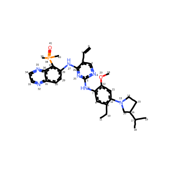 C=Cc1cnc(Nc2cc(CC)c(N3CCC(C(C)C)C3)cc2OC)nc1Nc1ccc2nccnc2c1P(C)(C)=O